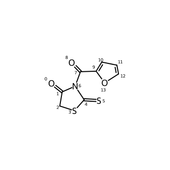 O=C1CSC(=S)N1C(=O)c1ccco1